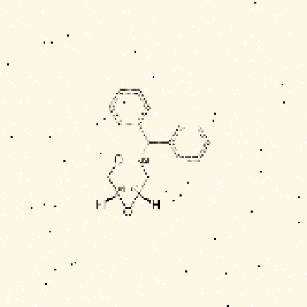 c1ccc(C(c2ccccc2)[C@@H]2C[C@@H]3O[C@@H]3CO2)cc1